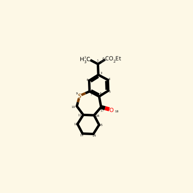 CCOC(=O)C(C)c1ccc2c(c1)SCC1CCCCC1C2=O